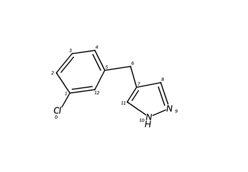 Clc1cccc(Cc2cn[nH]c2)c1